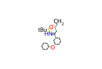 C=CCC[C@H](N[S+]([O-])C(C)(C)C)c1cccc(Oc2ccccc2)c1